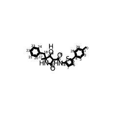 Cc1ccc(-c2ccc(NC(=O)C3C(=O)NC(C)(Cc4ccccc4)C3O)s2)cc1